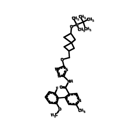 COc1cccc(F)c1-c1cc(C)ncc1C(=O)Nc1nnc(OCC2CC3(C2)CC(O[Si](C)(C)C(C)(C)C)C3)s1